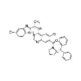 C[C@H](Nc1ncnc2cc(C(=O)N3CCC[C@H]3C(c3ccccc3)c3ccccc3)c(Cl)cc12)c1nc2cc(Cl)ccc2[nH]1